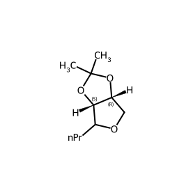 CCCC1OC[C@H]2OC(C)(C)O[C@@H]12